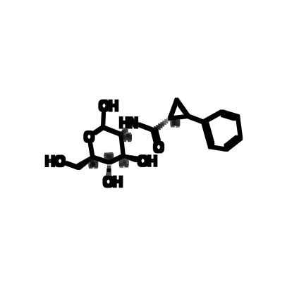 O=C(N[C@H]1C(O)O[C@H](CO)[C@@H](O)[C@@H]1O)[C@@H]1CC1c1ccccc1